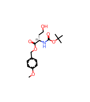 COc1ccc(COC(=O)[C@H](CCO)NC(=O)OC(C)(C)C)cc1